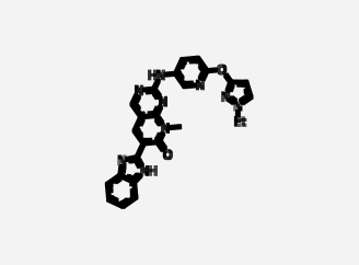 CCn1ccc(Oc2ccc(Nc3ncc4cc(-c5nc6ccccc6[nH]5)c(=O)n(C)c4n3)cn2)n1